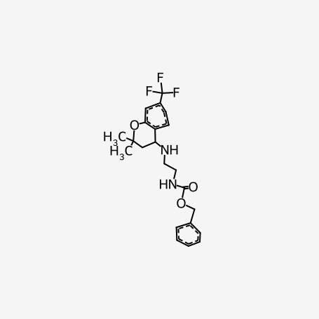 CC1(C)CC(NCCNC(=O)OCc2ccccc2)c2ccc(C(F)(F)F)cc2O1